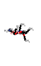 CC/C=C\CC1C(CC(=O)OC(CCCCCCCC)C(C)(C)CC(C)(N)C(CCCCCCCC)CCCCCCCC)CCC1OC(=O)CCN(C)C